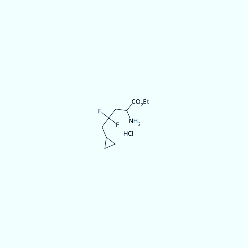 CCOC(=O)C(N)CC(F)(F)CC1CC1.Cl